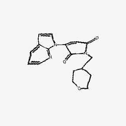 O=C1C=C(n2ccc3cccnc32)C(=O)N1CC1CCOCC1